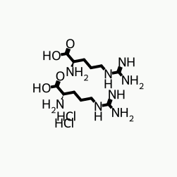 Cl.Cl.N=C(N)NCCC[C@@H](N)C(=O)O.N=C(N)NCCC[C@H](N)C(=O)O